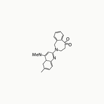 CNC1=CC(N2CCS(=O)(=O)c3ccccc3C2)=NC2=CC=C(C)CC21